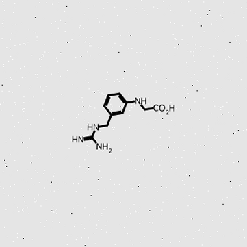 N=C(N)NCc1cccc(NCC(=O)O)c1